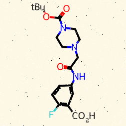 CC(C)(C)OC(=O)N1CCN(CC(=O)Nc2ccc(F)c(C(=O)O)c2)CC1